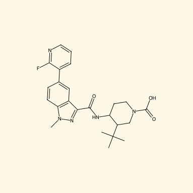 Cn1nc(C(=O)NC2CCN(C(=O)O)CC2C(C)(C)C)c2cc(-c3cccnc3F)ccc21